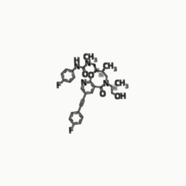 C[C@H](CO)N1C[C@H](C)[C@H](CN(C)C(=O)Nc2ccc(F)cc2)Oc2ncc(C#Cc3ccc(F)cc3)cc2C1=O